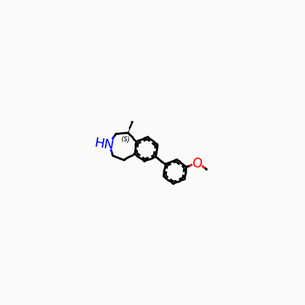 COc1cccc(-c2ccc3c(c2)CCNC[C@H]3C)c1